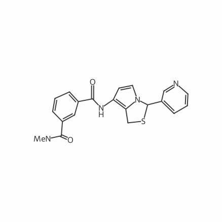 CNC(=O)c1cccc(C(=O)Nc2ccn3c2CSC3c2cccnc2)c1